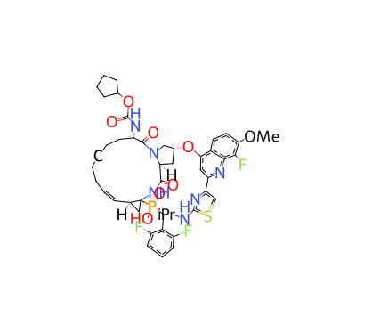 COc1ccc2c(O[C@@H]3C[C@H]4C(=O)N[C@]5(P(=O)(O)Cc6c(F)cccc6F)C[C@H]5/C=C\CCCCC[C@H](NC(=O)OC5CCCC5)C(=O)N4C3)cc(-c3csc(NC(C)C)n3)nc2c1F